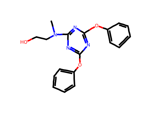 CN(CCO)c1nc(Oc2ccccc2)nc(Oc2ccccc2)n1